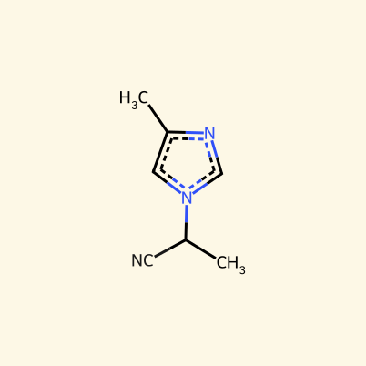 Cc1cn(C(C)C#N)cn1